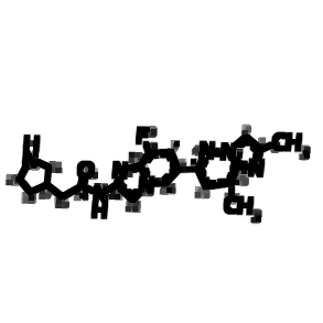 Cc1cn2nc(-c3cc(F)c4nc(NC(=O)CC5CCNC5)cn4c3)cc(C)c2n1